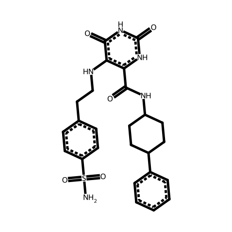 NS(=O)(=O)c1ccc(CCNc2c(C(=O)NC3CCC(c4ccccc4)CC3)[nH]c(=O)[nH]c2=O)cc1